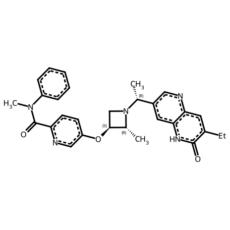 CCc1cc2ncc([C@@H](C)N3C[C@H](Oc4ccc(C(=O)N(C)c5ccccc5)nc4)[C@H]3C)cc2[nH]c1=O